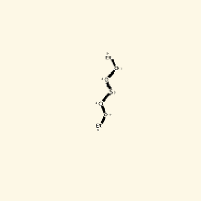 CCOOSOOCC